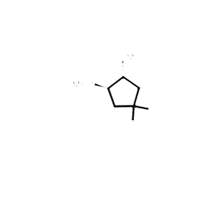 CO[C@@H]1CC(C)(C)C[C@H]1OC